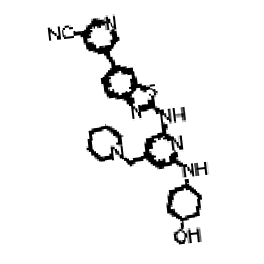 N#Cc1cncc(-c2ccc3nc(Nc4cc(CN5CCCCC5)cc(N[C@H]5CC[C@H](O)CC5)n4)sc3c2)c1